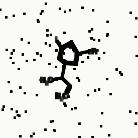 [CH2]C(C=C)c1cc(I)cc(CCC)c1